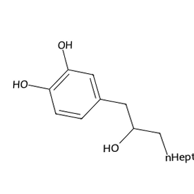 CCCCCCCCC(O)Cc1ccc(O)c(O)c1